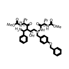 COC(=O)N[C@H](C(=O)NN(Cc1ccc(OCc2ccccc2)cc1)C[C@H](O)C(C(=O)[C@@H](NC(=O)OC)C(C)C)C(N)c1ccccc1)C(C)C